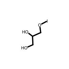 OCC(O)COI